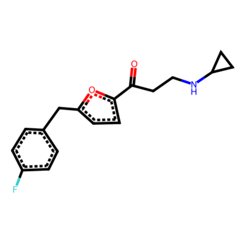 O=C(CCNC1CC1)c1ccc(Cc2ccc(F)cc2)o1